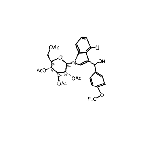 CC(=O)OC[C@H]1O[C@@H](n2cc(C(O)c3ccc(OC(F)(F)F)cc3)c3c(Cl)cccc32)[C@H](OC(C)=O)[C@@H](OC(C)=O)[C@@H]1OC(C)=O